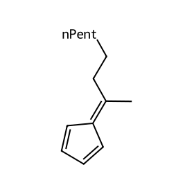 CCCCCCCC(C)=C1C=CC=C1